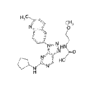 COCCNC(=O)O.Cc1ccc2cc(-n3nnc4cnc(NC5CCCC5)nc43)ccc2n1